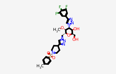 CO[C@@H]1[C@@H](n2cc(-c3cc(F)c(F)c(F)c3)nn2)[C@@H](O)[C@@H](CO)O[C@@H]1Cn1cc(C2CCN(S(=O)(=O)c3ccc(C)cc3)CC2)nn1